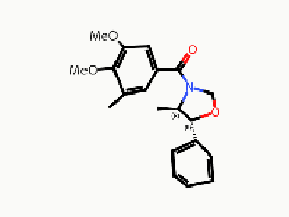 COc1cc(C(=O)N2CO[C@H](c3ccccc3)[C@H]2C)cc(C)c1OC